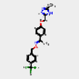 C/C(=N\OCc1ccc(C(F)(F)F)cc1)c1ccc(OCc2nnc(C)[nH]2)cc1